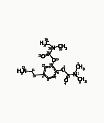 CN(C)C(=O)Oc1ccc(CCN)cc1OC(=O)N(C)C